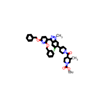 CC1CN(C(=O)OC(C)(C)C)CCC1C(=O)N1CC=C(c2cc3c(cc2F)c(-c2ccc(OCc4ccccc4)nc2OCc2ccccc2)nn3C)CC1